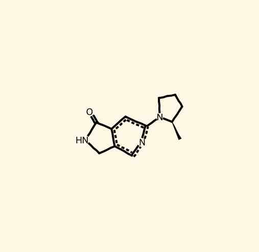 C[C@@H]1CCCN1c1cc2c(cn1)CNC2=O